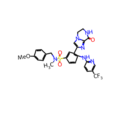 COc1ccc(CN(C)S(=O)(=O)c2ccc(Nc3ccc(C(F)(F)F)cn3)c(-c3cn4c(n3)C(=O)NCC4)c2)cc1